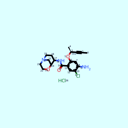 CC#C[C@H](C)Oc1cc(N)c(Cl)cc1C(=O)NC1CCN2CCOC1C2.Cl